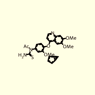 COc1cc2nccc(Oc3ccc(N(C(C)=O)C(N)=S)cc3OC)c2cc1OC.c1cc2cc-2c1